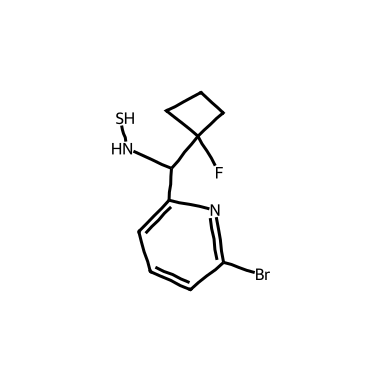 FC1(C(NS)c2cccc(Br)n2)CCC1